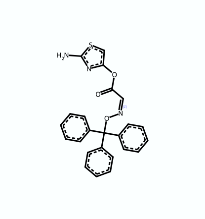 Nc1nc(OC(=O)/C=N\OC(c2ccccc2)(c2ccccc2)c2ccccc2)cs1